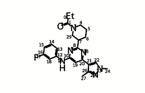 CCC(=O)N1CCCC(c2nc(Nc3cccc(F)c3)cc(-c3cn(C)nc3C)n2)C1